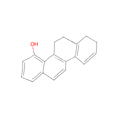 Oc1cccc2ccc3c(c12)CCC1=C3C=CCC1